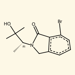 C[C@@H](N1Cc2cccc(Br)c2C1=O)C(C)(C)O